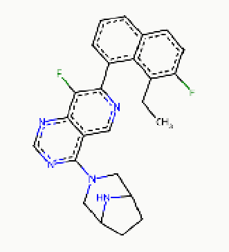 CCc1c(F)ccc2cccc(-c3ncc4c(N5CC6CCC(C5)N6)ncnc4c3F)c12